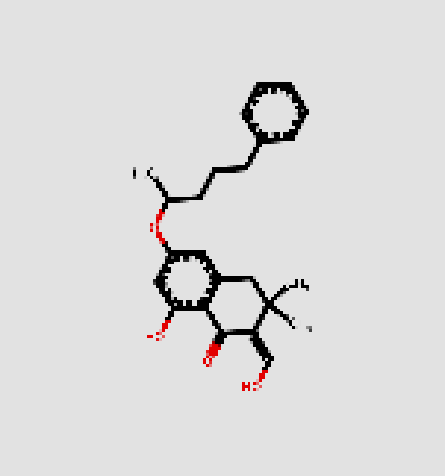 CC(CCCc1ccccc1)Oc1cc(O)c2c(c1)CC(C)(C)C(=CO)C2=O